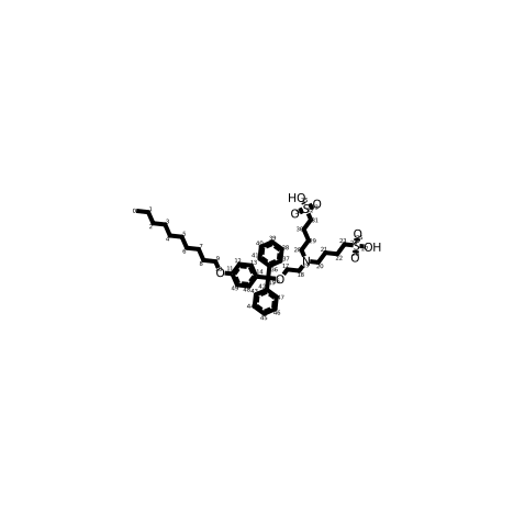 CCCCCCCCCCOc1ccc(C(OCCN(CCCCS(=O)(=O)O)CCCCS(=O)(=O)O)(c2ccccc2)c2ccccc2)cc1